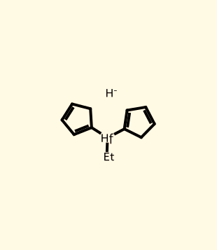 C[CH2][Hf]([C]1=CC=CC1)[C]1=CC=CC1.[H-]